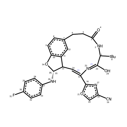 CC(C)(C)C1NC(=O)CCc2ccc3c(c2)C(/C=C(c2nc(C#N)co2)/N=C/1O)[C@H](Nc1ccc(F)cc1)O3